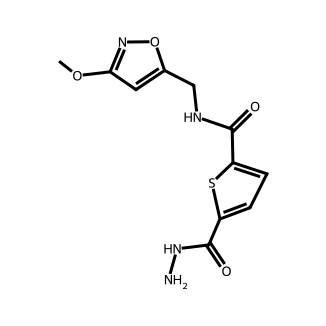 COc1cc(CNC(=O)c2ccc(C(=O)NN)s2)on1